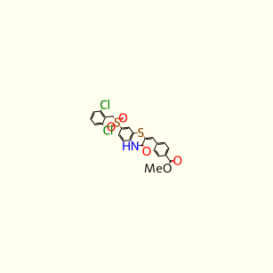 COC(=O)c1ccc(/C=C2/Sc3cc(S(=O)(=O)Cc4c(Cl)cccc4Cl)ccc3NC2=O)cc1